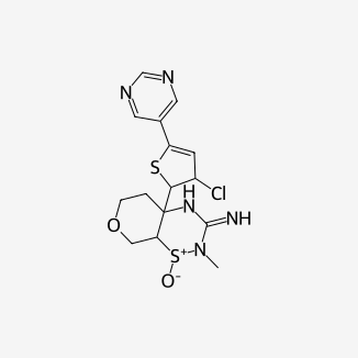 CN1C(=N)NC2(C3SC(c4cncnc4)=CC3Cl)CCOCC2[S+]1[O-]